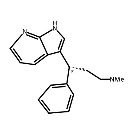 CNCC[C@H](c1ccccc1)c1c[nH]c2ncccc12